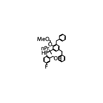 CCCC(C)(Pc1ccc(F)cc1CO)c1cc(Cc2ccccc2)cc(Cc2ccccc2)c1OCOC